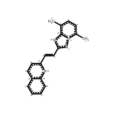 Cc1ccc(C)n2nc(C=Cc3ccc4ccccc4n3)nc12